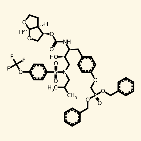 CC(C)CN(C[C@@H](O)[C@H](Cc1ccc(OCP(=O)(OCc2ccccc2)OCc2ccccc2)cc1)NC(=O)O[C@H]1CO[C@H]2OCC[C@H]21)S(=O)(=O)c1ccc(OC(F)(F)F)cc1